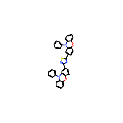 c1ccc(N2c3ccccc3Oc3ccc(-c4nsc(-c5ccc6c(c5)N(c5ccccc5)c5ccccc5O6)n4)cc32)cc1